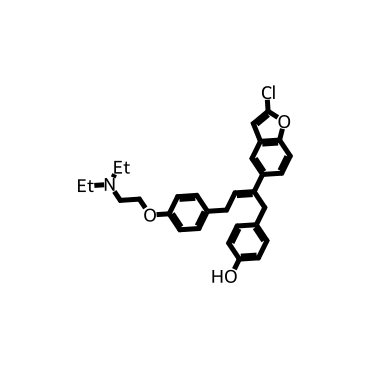 CCN(CC)CCOc1ccc(CC=C(Cc2ccc(O)cc2)c2ccc3oc(Cl)cc3c2)cc1